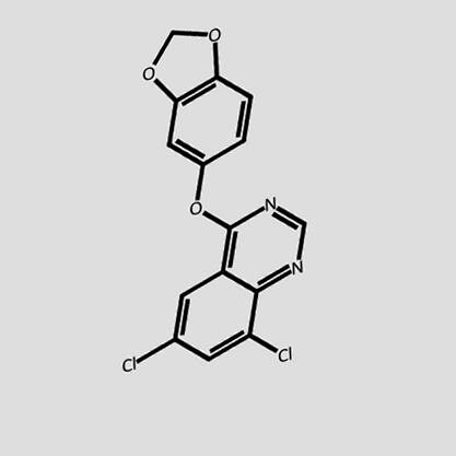 Clc1cc(Cl)c2ncnc(Oc3ccc4c(c3)OCO4)c2c1